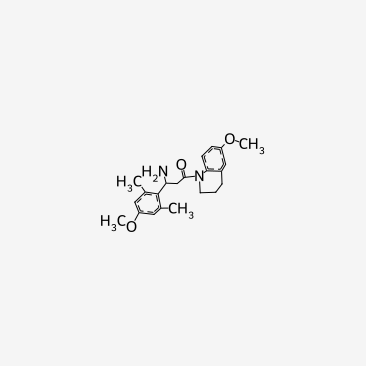 COc1cc(C)c(C(N)CC(=O)N2CCCc3cc(OC)ccc32)c(C)c1